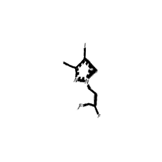 Cc1nn(CC(F)F)cc1I